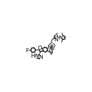 Cc1ccc(C)n1-c1nc(CCCN(c2cc3oc(-c4ccc(F)cc4)c(-c4ncc[nH]4)c3cc2C2CC2)S(C)(=O)=O)cs1